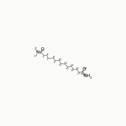 CN(C)C(=O)CCCCCCCCCCCCCC(N)=O